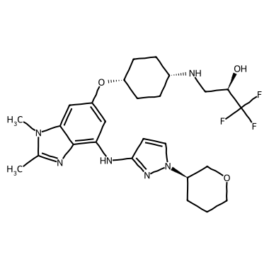 Cc1nc2c(Nc3ccn([C@@H]4CCCOC4)n3)cc(O[C@H]3CC[C@@H](NC[C@@H](O)C(F)(F)F)CC3)cc2n1C